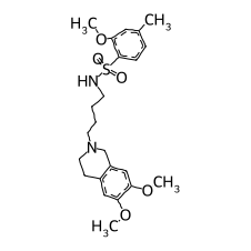 COc1cc2c(cc1OC)CN(CCCCNS(=O)(=O)c1ccc(C)cc1OC)CC2